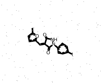 [CH2]c1ccc(C=C2C(=O)NN(c3ccc(I)cc3)C2=O)o1